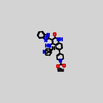 CC(C)(C)OC(=O)N1CC=C(c2ccc3[nH]c(=O)c(-c4nc5ccccc5[nH]4)c(N[C@H]4CN5CCC4CC5)c3c2)CC1